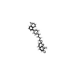 CN1CCCc2c1cccc2N1CCN(CCCCOc2ccc3ccc(=O)[nH]c3n2)CC1